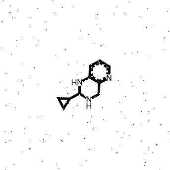 c1cnc2c(c1)NC(C1CC1)NC2